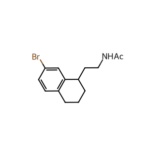 CC(=O)NCCC1CCCc2ccc(Br)cc21